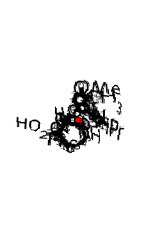 COc1ccc2c(O[C@H]3C[C@H]4C(=O)NCCCC/C=C\[C@@H]5C[C@@]5(C(=O)O)NC(=O)[C@@H]4C3)cc(-c3nc(C(C)C)cs3)nc2c1C